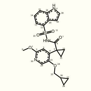 COc1cc(C2(C(=O)NS(=O)(=O)c3cccc4[nH]ccc34)CC2)c(OCC2CC2)cn1